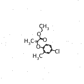 CCOC(=O)[C@@H](C)Oc1ccc(Cl)cc1C